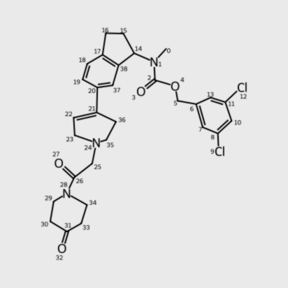 CN(C(=O)OCc1cc(Cl)cc(Cl)c1)C1CCc2ccc(C3=CCN(CC(=O)N4CCC(=O)CC4)CC3)cc21